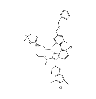 CCOC(=O)c1c(C(CC)Oc2cc(C)c(Cl)c(C)c2)c2ccc(Cl)c(-c3c(C)nc(COCc4ccccc4)nc3C)c2n1CCCNC(=O)OC(C)(C)C